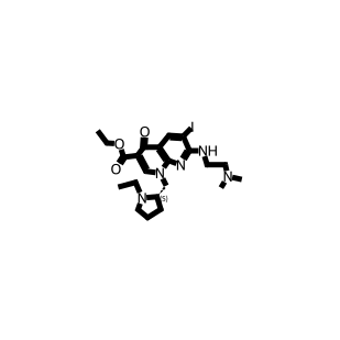 CCOC(=O)c1cn(C[C@@H]2CCCN2CC)c2nc(NCCN(C)C)c(I)cc2c1=O